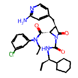 CC[C@@H](NC(=O)N1C(=O)[C@H](Cc2ccnc(N)c2)[C@H]1C(=O)N(CC)c1cccc(Cl)c1)C1CCCCC1